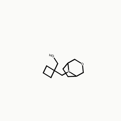 OCC1(CN2C3CCC2COC3)CCC1